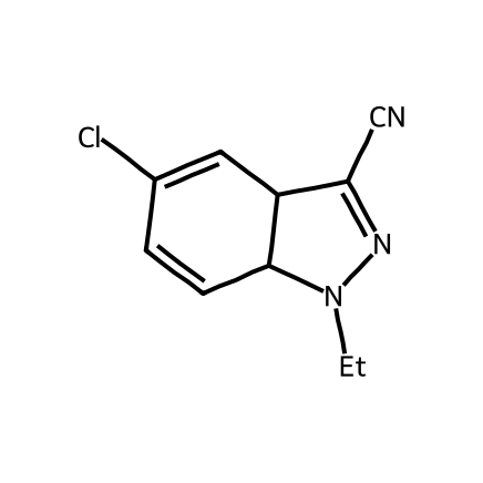 CCN1N=C(C#N)C2C=C(Cl)C=CC21